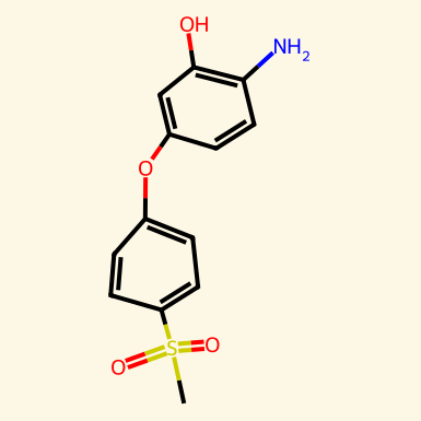 CS(=O)(=O)c1ccc(Oc2ccc(N)c(O)c2)cc1